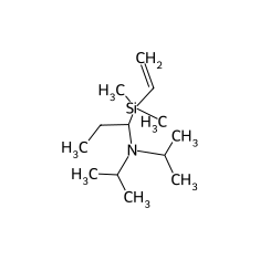 C=C[Si](C)(C)C(CC)N(C(C)C)C(C)C